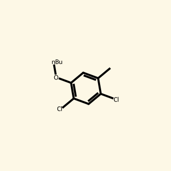 CCCCOc1cc(C)c(Cl)cc1Cl